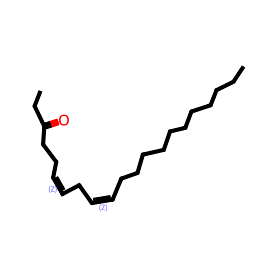 CCCCCCCCCCC/C=C\C/C=C\CCC(=O)CC